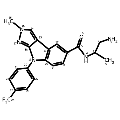 CC(CN)NC(=O)c1ccc2c(c1)c1cn(C)nc1n2-c1ccc(C(F)(F)F)cc1